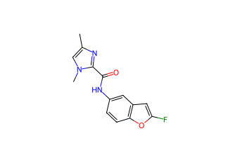 Cc1cn(C)c(C(=O)Nc2ccc3oc(F)cc3c2)n1